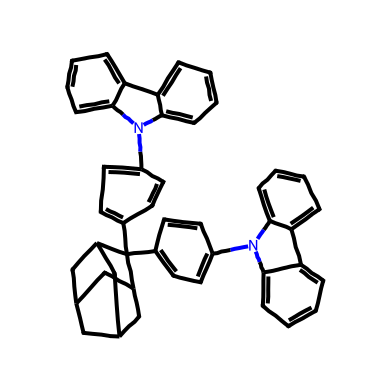 c1ccc2c(c1)c1ccccc1n2-c1ccc(C2(c3ccc(-n4c5ccccc5c5ccccc54)cc3)C3CC4CC(C3)CC2C4)cc1